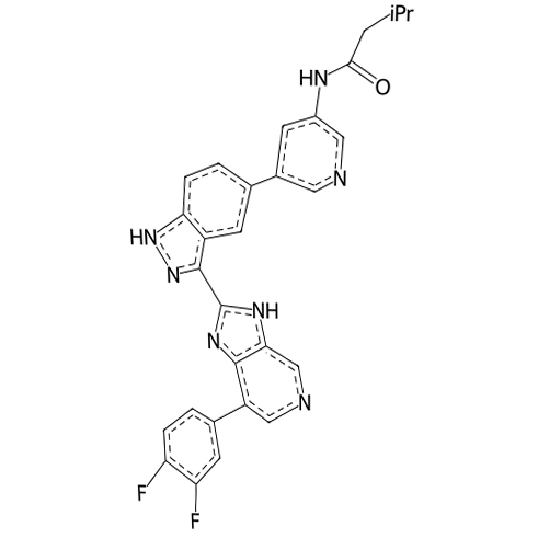 CC(C)CC(=O)Nc1cncc(-c2ccc3[nH]nc(-c4nc5c(-c6ccc(F)c(F)c6)cncc5[nH]4)c3c2)c1